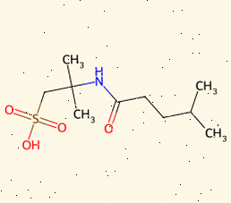 CC(C)CCC(=O)NC(C)(C)CS(=O)(=O)O